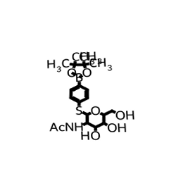 CC(=O)NC1C(Sc2ccc(B3OC(C)(C)C(C)(C)O3)cc2)OC(CO)C(O)C1O